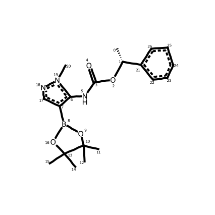 C[C@@H](OC(=O)Nc1c(B2OC(C)(C)C(C)(C)O2)cnn1C)c1ccccc1